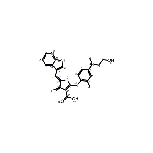 Cc1cc(N(C)CCO)ccc1NC1=C(C(=O)O)C(=O)/C(=C/c2c[nH]c3ncccc23)O1